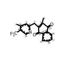 CC1=C(Cc2cc(C)c(C(F)(F)F)cn2)C(=O)c2ccccc2C1=O